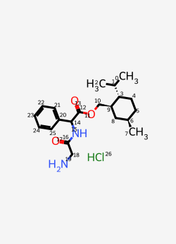 CC(C)[C@@H]1CC[C@@H](C)C[C@H]1COC(=O)C(NC(=O)CN)c1ccccc1.Cl